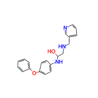 OC(CNCc1cccnc1)Nc1ccc(Oc2ccccc2)cc1